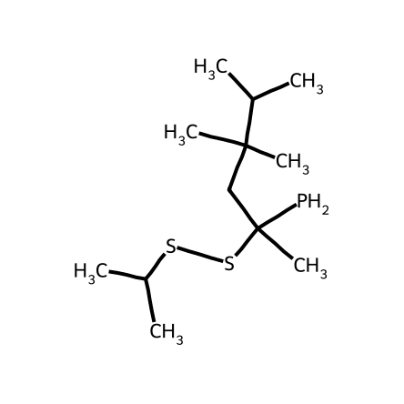 CC(C)SSC(C)(P)CC(C)(C)C(C)C